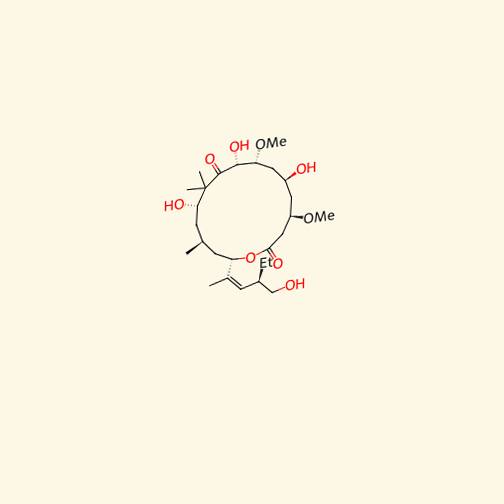 CC[C@H](/C=C(/C)[C@@H]1C[C@@H](C)C[C@H](O)C(C)(C)C(=O)[C@H](O)[C@H](OC)C[C@@H](O)C[C@@H](OC)CC(=O)O1)CO